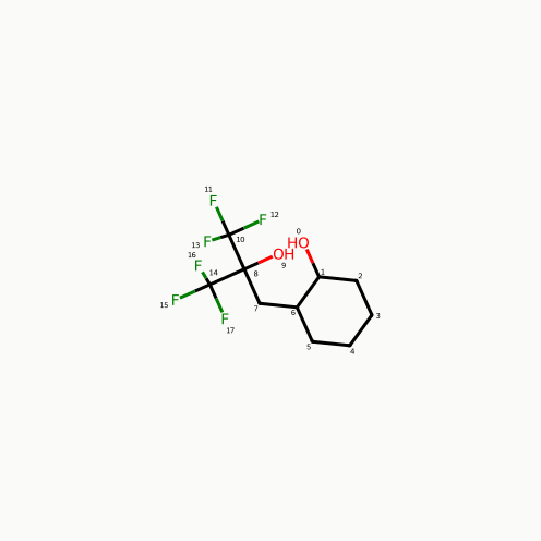 OC1CCCCC1CC(O)(C(F)(F)F)C(F)(F)F